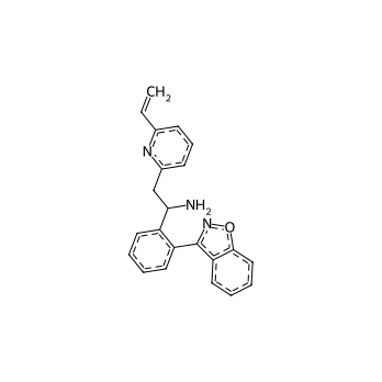 C=Cc1cccc(CC(N)c2ccccc2-c2noc3ccccc23)n1